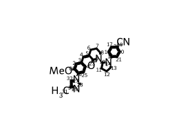 COc1cc(/C=C2/CCCN(C3CCCN3c3ccc(C#N)cc3)C2=O)ccc1-n1cnc(C)c1